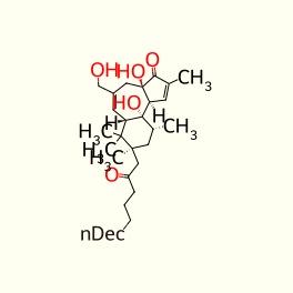 CCCCCCCCCCCCCC(=O)C[C@]1(C)C[C@@H](C)[C@@]2(O)[C@@H](C=C(CO)C[C@]3(O)C(=O)C(C)=C[C@@H]23)C1(C)C